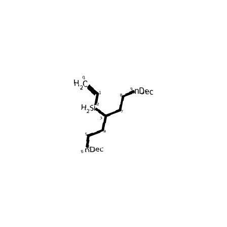 C=C[SiH2]C(CCCCCCCCCCCC)CCCCCCCCCCCC